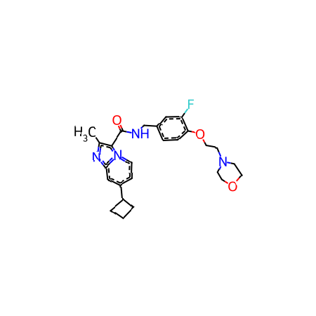 Cc1nc2cc(C3CCC3)ccn2c1C(=O)NCc1ccc(OCCN2CCOCC2)c(F)c1